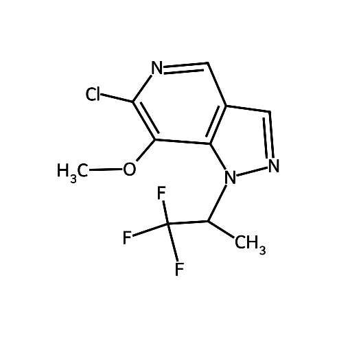 COc1c(Cl)ncc2cnn(C(C)C(F)(F)F)c12